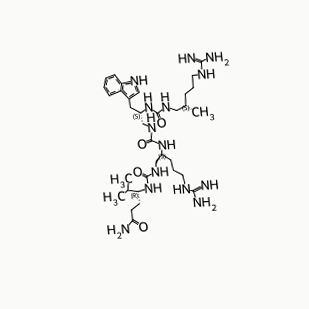 CC(C)[C@@H](CCC(N)=O)NC(=O)NC[C@H](CCCNC(=N)N)NC(=O)NC[C@H](Cc1c[nH]c2ccccc12)NC(=O)NC[C@@H](C)CCCNC(=N)N